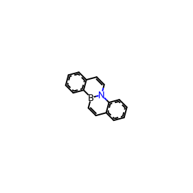 C1=Cc2ccccc2N2C=Cc3ccccc3B12